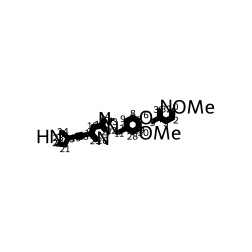 COc1ccc(COc2ccc(Cn3cnc4cc(C#CC5CCNC5)cnc43)cc2OC)cn1